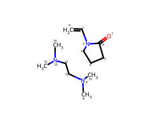 C=CN1CCCC1=O.CN(C)CCN(C)C